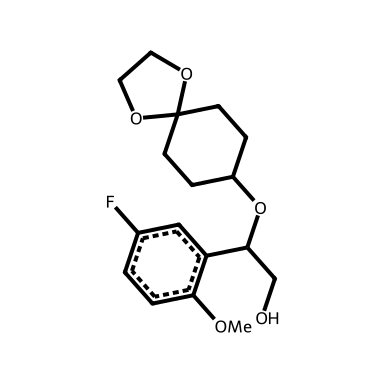 COc1ccc(F)cc1C(CO)OC1CCC2(CC1)OCCO2